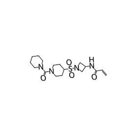 C=CC(=O)NC1CN(S(=O)(=O)C2CCN(C(=O)N3CCCCC3)CC2)C1